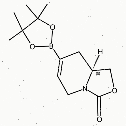 CC1(C)OB(C2=CCN3C(=O)OC[C@@H]3C2)OC1(C)C